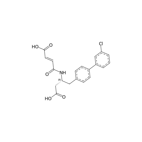 O=C(O)C=CC(=O)N[C@@H](CC(=O)O)Cc1ccc(-c2cccc(Cl)c2)cc1